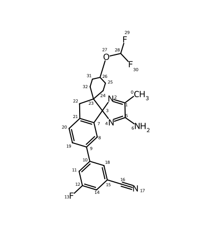 CC1=NC2(N=C1N)c1cc(-c3cc(F)cc(C#N)c3)ccc1CC21CCC(OC(F)F)CC1